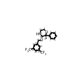 C[C@]1(c2ccccc2)OCCN[C@H]1OCc1cc(C(F)(F)F)cc(C(F)(F)F)c1